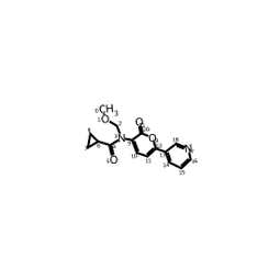 COCN(C(=O)C1CC1)c1ccc(-c2cccnc2)oc1=O